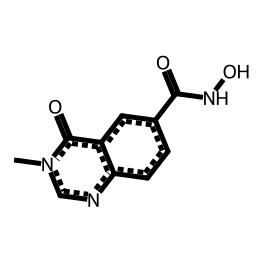 Cn1cnc2ccc(C(=O)NO)cc2c1=O